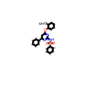 COc1ccccc1Oc1cc(-c2ccccc2)nc(NS(=O)(=O)c2ccccc2)n1